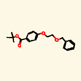 CC(C)(C)OC(=O)c1ccc(OCCOCc2ccccc2)cc1